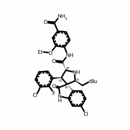 CCOc1cc(C(N)=O)ccc1NC(=O)[C@@H]1N[C@@H](CC(C)(C)C)[C@@]2(C(=O)Nc3cc(Cl)ccc32)[C@H]1c1cccc(Cl)c1F